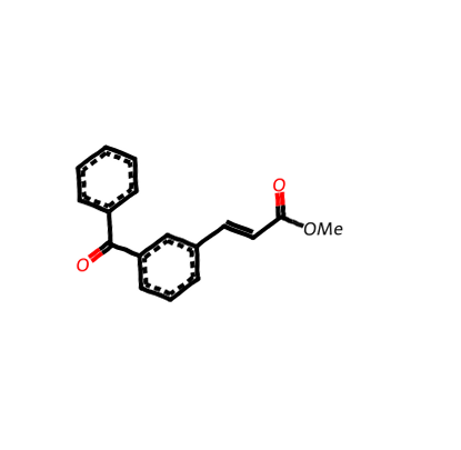 COC(=O)/C=C/c1cccc(C(=O)c2ccccc2)c1